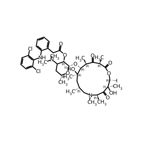 C[C@H]1CN(C)[C@H](C)C(=O)[C@](C)(O)[C@@H](I)OC(=O)[C@H](C)C(=O)[C@H](C)[C@@H](O[C@@H]2O[C@H](C)CC(N(C)C)[C@H]2OC(=O)Cc2ccccc2Nc2c(Cl)cccc2Cl)[C@](C)(O)C1